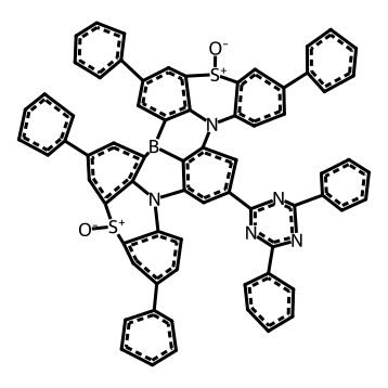 [O-][S+]1c2cc(-c3ccccc3)ccc2N2c3cc(-c4nc(-c5ccccc5)nc(-c5ccccc5)n4)cc4c3B(c3cc(-c5ccccc5)cc1c32)c1cc(-c2ccccc2)cc2c1N4c1ccc(-c3ccccc3)cc1[S+]2[O-]